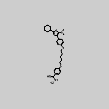 CN(C)c1sc(C2CCCCC2)nc1-c1ccc(OCCCCCOc2ccc(C(=N)NO)cc2)cc1